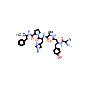 CCC(C)C(NC(=O)CC(Cc1ccc(O)cc1)NC(=O)C(N)C(C)C)C(=O)NC(Cc1c[nH]cn1)C(=O)N1CCCC1C(=O)NC(Cc1ccccc1)C(=O)O